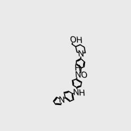 O=C(Nc1ccc(Nc2ccc(-n3cccc3)cc2)cc1)c1ccc(N2CCCC(CO)C2)cc1